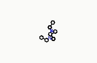 C1=CCC(c2cccc(N3C4=C(C=CCC4)C4=c5c(n(C6=CC(C7C=CCCC7)CCC6)c6ccccc56)=CCC43)c2)C=C1